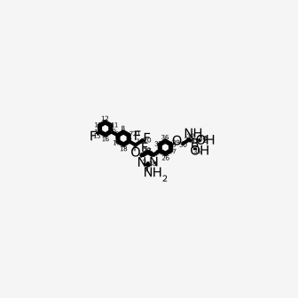 Nc1nc(OC(c2ccc(-c3cccc(F)c3)cc2)C(F)(F)F)cc(-c2ccc(OCC(N)B(O)O)cc2)n1